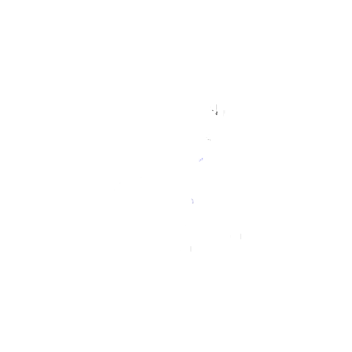 CCCCCCCCCCCCCCCCCC/C(=C\CCCC(=O)OCCCCN(C)C)CCCCCCC/C=C(/CCCCCCCCCC)CCCCCCCCCCC